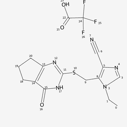 CCn1cnc(C#N)c1CSc1nc2c(c(=O)[nH]1)CCC2.O=C(O)C(F)(F)F